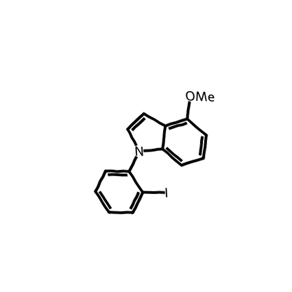 COc1cccc2c1ccn2-c1ccccc1I